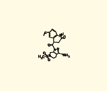 CS(=O)(=O)N1CCc2c(N)nn(C(=O)C3CC(=O)Nc4ccc(F)cc43)c2C1